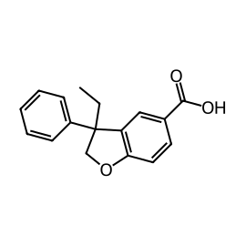 CCC1(c2ccccc2)COc2ccc(C(=O)O)cc21